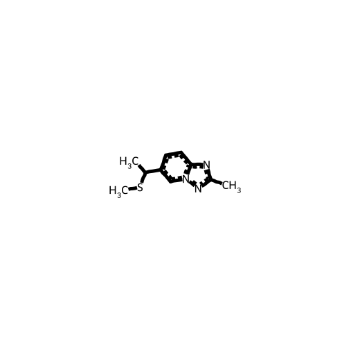 CSC(C)c1ccc2nc(C)nn2c1